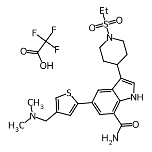 CCS(=O)(=O)N1CCC(c2c[nH]c3c(C(N)=O)cc(-c4cc(CN(C)C)cs4)cc23)CC1.O=C(O)C(F)(F)F